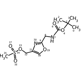 CC(C)(C)OC(=O)NCc1nc(COS(C)(=O)=O)co1